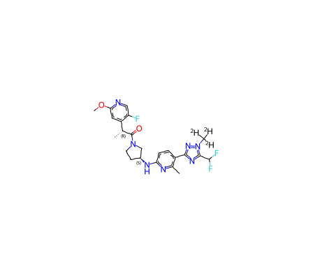 [2H]C([2H])([2H])n1nc(-c2ccc(N[C@H]3CCN(C(=O)[C@H](C)c4cc(OC)ncc4F)C3)nc2C)nc1C(F)F